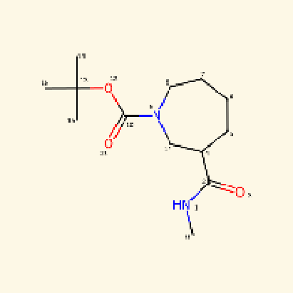 CNC(=O)C1CCCCN(C(=O)OC(C)(C)C)C1